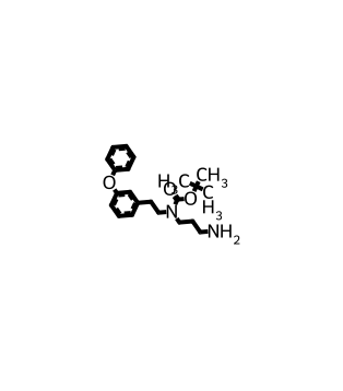 CC(C)(C)OC(=O)N(CCCN)CCc1cccc(Oc2ccccc2)c1